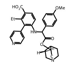 CCc1c(C(=O)O)ccc(NC(C(=O)O[C@H]2CN3CCC2CC3)c2ccc(OC)cc2)c1-c1ccncc1